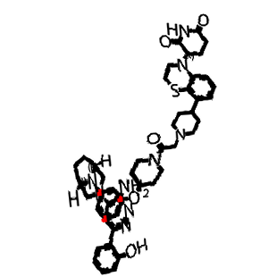 Nc1nnc(-c2ccccc2O)cc1N1C[C@H]2CC[C@@H](C1)N2c1cccc(OC2CCN(C(=O)CN3CCC(c4cccc5c4SCCN5[C@@H]4CCC(=O)NC4=O)CC3)CC2)c1